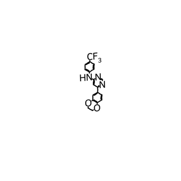 FC(F)(F)c1ccc(Nc2cc(-c3ccc4c(c3)OCCO4)ncn2)cc1